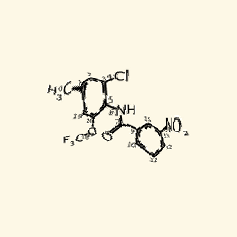 Cc1cc(Cl)c(NC(=O)c2cccc([N+](=O)[O-])c2)c(OC(F)(F)F)c1